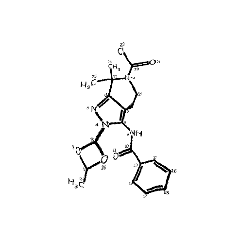 CC1OC(n2nc3c(c2NC(=O)c2ccccc2)CN(C(=O)Cl)C3(C)C)O1